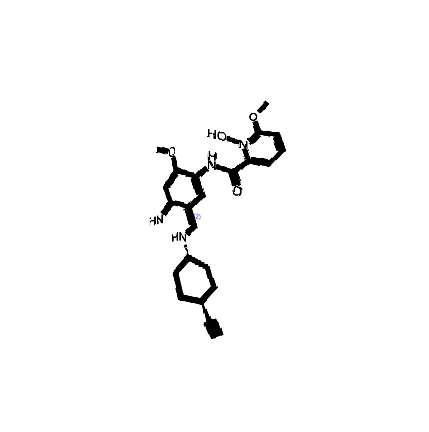 C#C[C@H]1CC[C@H](N/C=C2/C=C(NC(=O)c3cccc(OC)[n+]3O)C(OC)=CC2=N)CC1